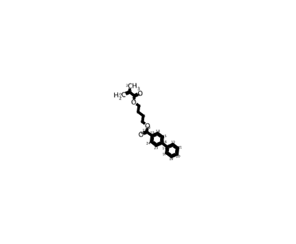 C=C(C)C(=O)OCCCCOC(=O)c1ccc(-c2ccccc2)cc1